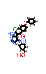 O=C(c1ccc(Oc2ccccc2)cc1Cl)c1c[nH]c2nncc(N[C@H]3CC[C@H](CO)CC3)c12